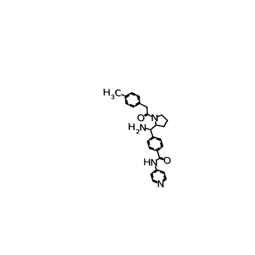 Cc1ccc(CC(=O)N2CCCC2C(N)c2ccc(C(=O)Nc3ccncc3)cc2)cc1